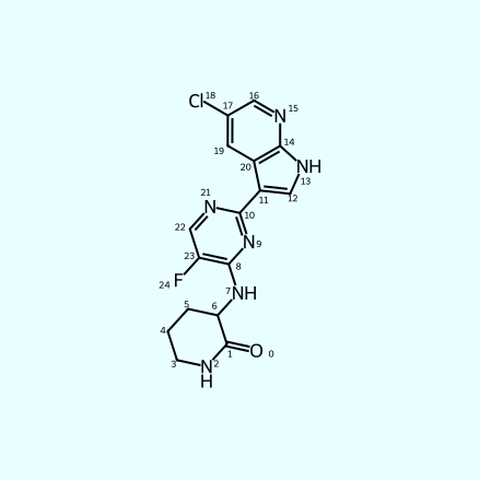 O=C1NCCCC1Nc1nc(-c2c[nH]c3ncc(Cl)cc23)ncc1F